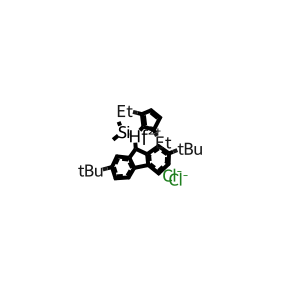 CCC1=[C]([Hf+2]([CH]2c3cc(C(C)(C)C)ccc3-c3ccc(C(C)(C)C)cc32)=[Si](C)C)C(CC)C=C1.[Cl-].[Cl-]